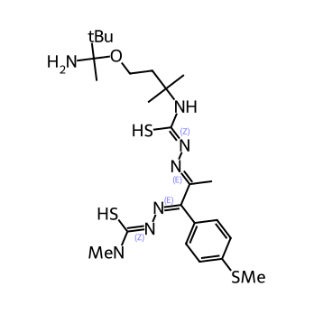 CN/C(S)=N/N=C(/C(C)=N/N=C(\S)NC(C)(C)CCOC(C)(N)C(C)(C)C)c1ccc(SC)cc1